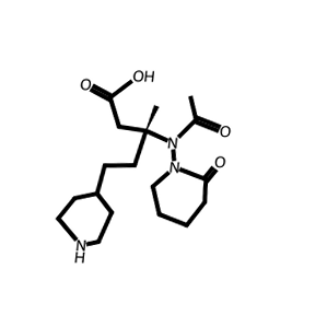 CC(=O)N(N1CCCCC1=O)[C@](C)(CCC1CCNCC1)CC(=O)O